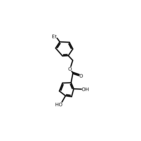 CCc1ccc(COC(=O)c2ccc(O)cc2O)cc1